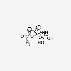 C[C@@H](CO)C(=O)N1CCC[C@H]1C(=O)N1CCC[C@H]1C(=O)N[C@@H](CO)C(=O)CO